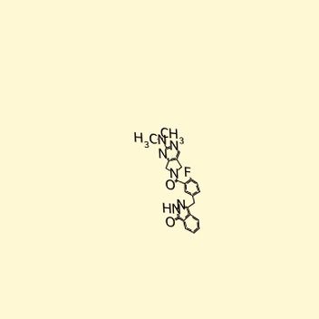 CN(C)c1ncc2c(n1)CN(C(=O)c1cc(Cc3n[nH]c(=O)c4ccccc34)ccc1F)C2